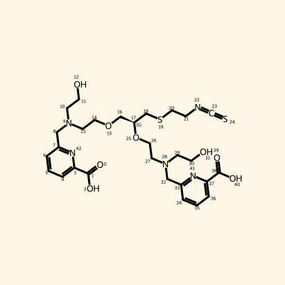 O=C(O)c1cccc(CN(CCO)CCOC[C@@H](CSCCN=C=S)OCCN(CCO)Cc2cccc(C(=O)O)n2)n1